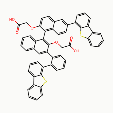 O=C(O)COc1ccc2cc(-c3cccc4c3sc3ccccc34)ccc2c1-c1c(OCC(=O)O)c(-c2ccccc2-c2cccc3c2sc2ccccc23)cc2ccccc12